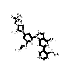 C=COc1cc(N2C[C@H](CS(C)(=O)=O)[C@H]2C)cc(-n2ncc3c(C)nc(-c4cnccc4OC)cc32)n1